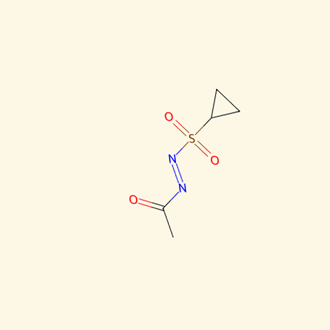 CC(=O)N=NS(=O)(=O)C1CC1